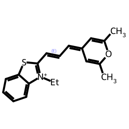 CC[n+]1c(/C=C/C=C2C=C(C)OC(C)=C2)sc2ccccc21